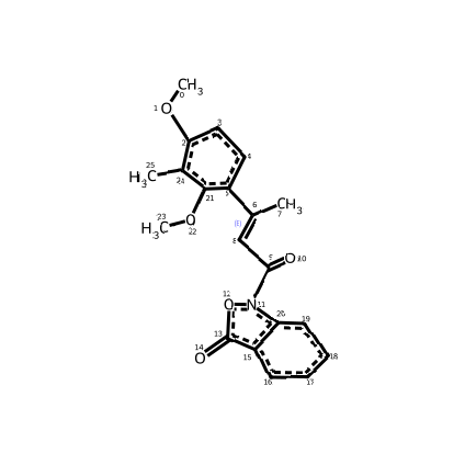 COc1ccc(/C(C)=C/C(=O)n2oc(=O)c3ccccc32)c(OC)c1C